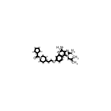 Cc1nc2c(N)nc3cc(OCCC4CCN(C(=O)C5CCCC5)CC4)ccc3c2n1CC(C)C